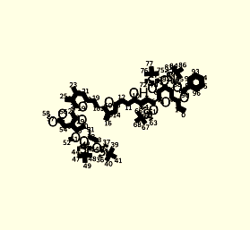 C=CCC1O[C@@H](C(/C=C/C(O)CCC2CC(=C)[C@H](CCC3CC(C)C(=C)[C@@H](CC4O[C@H](C[C@@H](CO[Si](C)(C)C(C)(C)C)O[Si](C)(C)C(C)(C)C)[C@H](OC)C4CC(=O)OC)O3)O2)O[Si](C)(C)C(C)(C)C)C(O[Si](C)(C)C(C)(C)C)C(O[Si](C)(C)C(C)(C)C)C1OC(=O)c1ccccc1